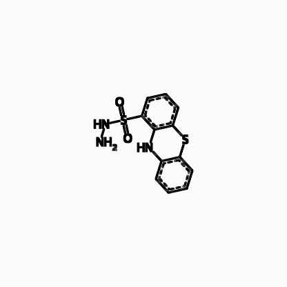 NNS(=O)(=O)c1cccc2c1Nc1ccccc1S2